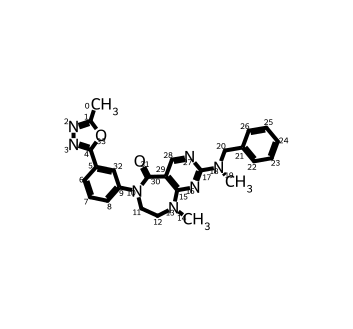 Cc1nnc(-c2cccc(N3CCN(C)c4nc(N(C)Cc5ccccc5)ncc4C3=O)c2)o1